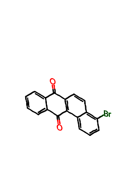 O=C1c2ccccc2C(=O)c2c1ccc1c(Br)cccc21